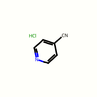 Cl.N#Cc1ccncc1